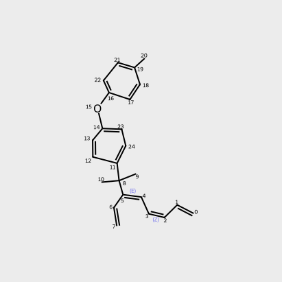 C=C/C=C\C=C(/C=C)C(C)(C)c1ccc(Oc2ccc(C)cc2)cc1